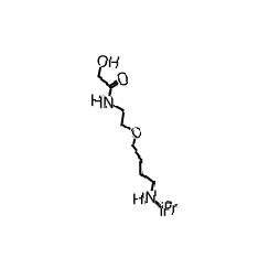 CC(C)NCCCCOCCNC(=O)CO